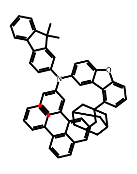 CC1(C)c2ccccc2-c2ccc(N(c3cccc(-c4cccc5cccc(-c6ccccc6)c45)c3)c3ccc4oc5cccc(C67CC8CC(CC(C8)C6)C7)c5c4c3)cc21